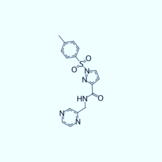 Cc1ccc(S(=O)(=O)n2ccc(C(=O)NCc3cnccn3)n2)cc1